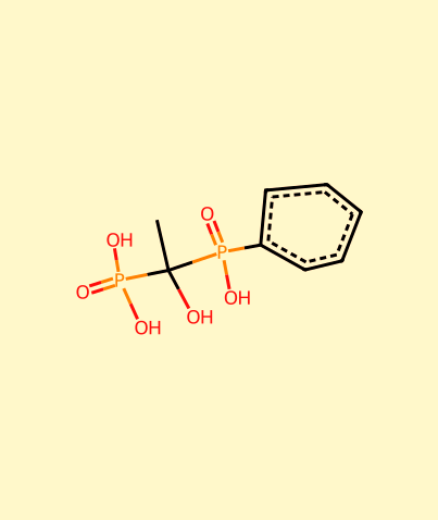 CC(O)(P(=O)(O)O)P(=O)(O)c1ccccc1